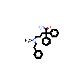 CN(CCCC(C(N)=O)(c1ccccc1)c1ccccc1)CCc1ccccc1